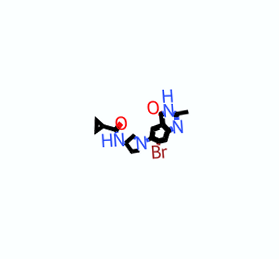 Cc1nc2cc(Br)c(N3CCC(NC(=O)C4CC4)C3)cc2c(=O)[nH]1